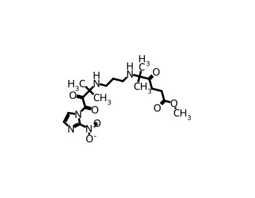 COC(=O)CCC(=O)C(C)(C)NCCCNC(C)(C)C(=O)C(=O)n1ccnc1[N+](=O)[O-]